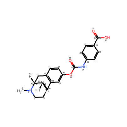 CN1CC[C@]23CCCC[C@H]2[C@H]1Cc1ccc(OC(=O)Nc2ccc(C(=O)O)cc2)cc13